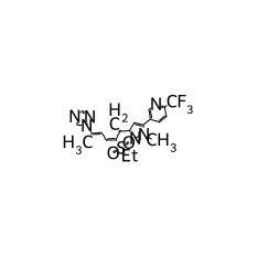 C=C(/C(=C\C=C(/C)n1cncn1)S(=O)(=O)CC)c1cc(-c2ccc(C(F)(F)F)nc2)n(C)n1